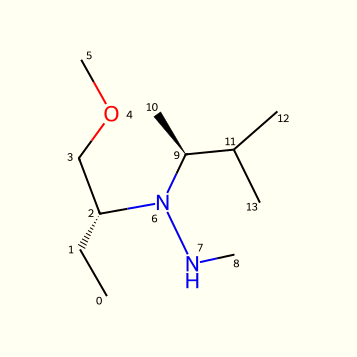 CC[C@H](COC)N(NC)[C@@H](C)C(C)C